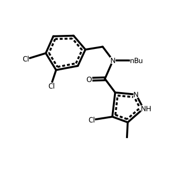 CCCCN(Cc1ccc(Cl)c(Cl)c1)C(=O)c1n[nH]c(C)c1Cl